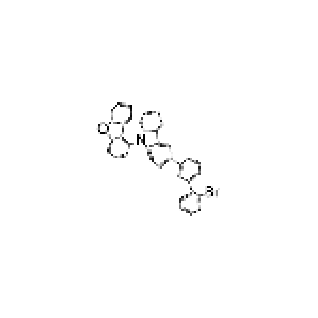 Brc1ccccc1-c1cccc(-c2ccc3c(c2)c2ccccc2n3-c2cccc3oc4ccccc4c23)c1